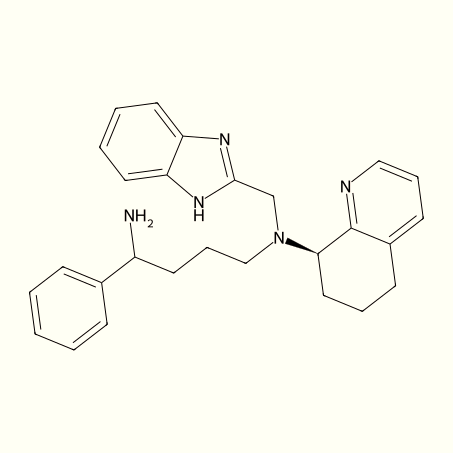 NC(CCCN(Cc1nc2ccccc2[nH]1)[C@@H]1CCCc2cccnc21)c1ccccc1